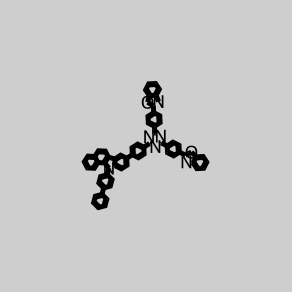 c1ccc(-c2ccc(-n3c4ccc(-c5ccc(-c6nc(-c7ccc(-c8nc9ccccc9o8)cc7)nc(-c7ccc(-c8nc9ccccc9o8)cc7)n6)cc5)cc4c4ccc5ccccc5c43)cc2)cc1